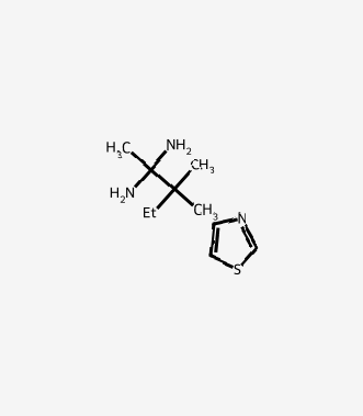 CCC(C)(C)C(C)(N)N.c1cscn1